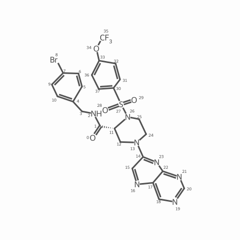 O=C(NCc1ccc(Br)cc1)[C@H]1CN(c2cnc3cncnc3n2)CCN1S(=O)(=O)c1ccc(OC(F)(F)F)cc1